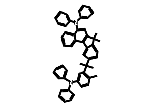 Cc1ccc(N(c2ccccc2)c2ccccc2)cc1C(C)(C)c1ccc2c(c1)-c1c(cc(N(c3ccccc3)c3ccccc3)c3ccccc13)C2(C)C